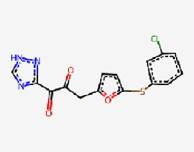 O=C(Cc1ccc(Sc2cccc(Cl)c2)o1)C(=O)c1nc[nH]n1